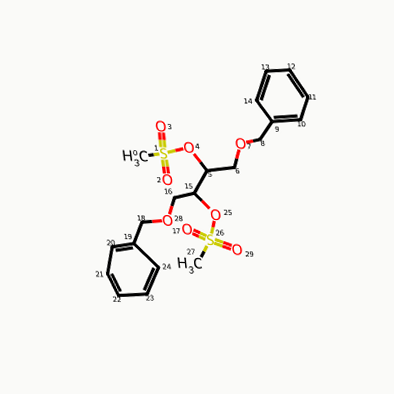 CS(=O)(=O)OC(COCc1ccccc1)C(COCc1ccccc1)OS(C)(=O)=O